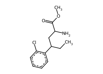 CCC(CC(N)C(=O)OC)c1ccccc1Cl